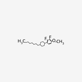 CCCCCCCCC1CCC(c2ccc(OCC)c(F)c2F)CC1